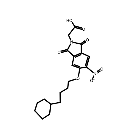 O=C(O)CN1C(=O)c2cc(OCCCCC3CCCCC3)c([N+](=O)[O-])cc2C1=O